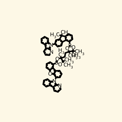 CC1(C)c2cc(-n3c4ccccc4c4cccnc43)ccc2-c2c(B3OC(C)(C)C(C)(CCC4(C)OB(c5cccc6oc7c(-n8c9ccccc9c9cccnc98)cccc7c56)OC4(C)C)O3)cccc21